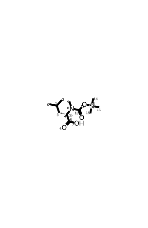 CC(C)C[C@@H](C(=O)O)N(C)C(=O)O[Si](C)(C)C